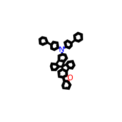 c1ccc(-c2ccc(N(c3ccc(-c4ccccc4)cc3)c3ccc4c(c3)-c3ccccc3C43c4ccccc4-c4c3ccc3c4oc4ccccc43)cc2)cc1